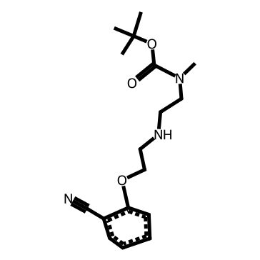 CN(CCNCCOc1ccccc1C#N)C(=O)OC(C)(C)C